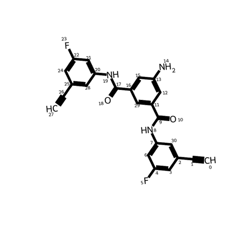 C#Cc1cc(F)cc(NC(=O)c2cc(N)cc(C(=O)Nc3cc(F)cc(C#C)c3)c2)c1